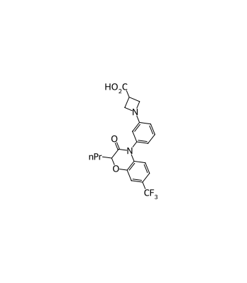 CCCC1Oc2cc(C(F)(F)F)ccc2N(c2cccc(N3CC(C(=O)O)C3)c2)C1=O